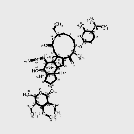 CC[C@H]1CCC[C@H](O[C@H]2CC[C@H](N(C)C)C(C)O2)[C@@H](C)C(=O)C2=C[C@H]3[C@@H]4C[C@H](O[C@@H]5O[C@H](C)[C@H](OC)C(OC)C5OC)C[C@H]4C(O)C(N=[N+]=[N-])[C@H]3[C@@H]2CC(=O)O1